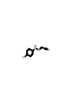 N#CC=NNc1ccc(Cl)cc1